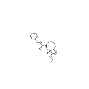 CCOC(=O)C1(F)CN(C(=O)OCc2ccccc2)CCCCC1=O